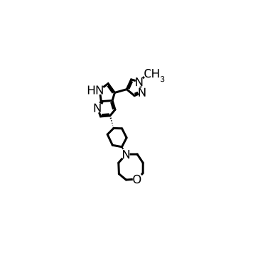 Cn1cc(-c2c[nH]c3ncc([C@H]4CC[C@@H](N5CCCOCCC5)CC4)cc23)cn1